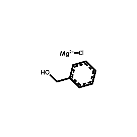 OCc1ccccc1.[Mg+2][Cl]